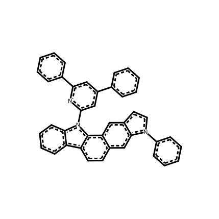 c1ccc(-c2cc(-c3ccccc3)nc(-n3c4ccccc4c4ccc5cc6c(ccn6-c6ccccc6)cc5c43)c2)cc1